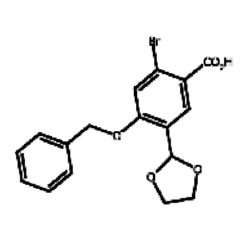 O=C(O)c1cc(C2OCCO2)c(OCc2ccccc2)cc1Br